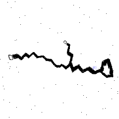 O=CC=CCCCCCCCCCC(CCC=O)CCC/C=C/c1ccccc1